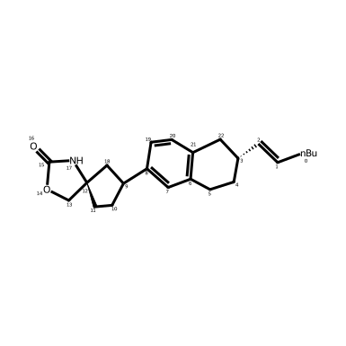 CCCC/C=C/[C@@H]1CCc2cc(C3CC[C@]4(COC(=O)N4)C3)ccc2C1